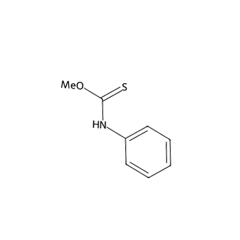 COC(=S)Nc1ccccc1